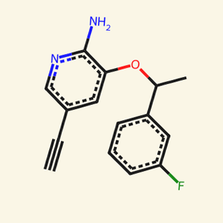 C#Cc1cnc(N)c(OC(C)c2cccc(F)c2)c1